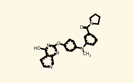 CN(c1ccc(Oc2nc(O)c3ccncc3n2)cc1)c1cccc(C(=O)N2CCCC2)c1